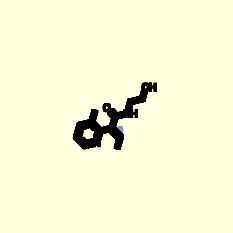 C/C=C(/C(=O)NCCO)c1ncccc1C